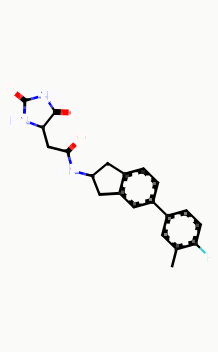 Cc1cc(-c2ccc3c(c2)CC(NC(=O)CC2NC(=O)NC2=O)C3)ccc1F